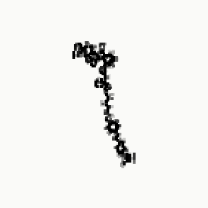 CNc1ccc(/C=C/c2ccc(OCCCCCCOC(=O)COc3cccc4c3C(=O)N(C3CCC(=O)NC3=O)C4=O)cc2)cc1